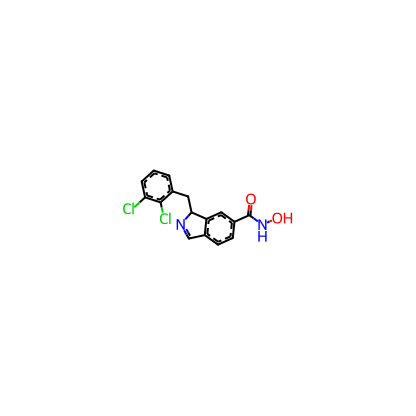 O=C(NO)c1ccc2c(c1)C(Cc1cccc(Cl)c1Cl)N=C2